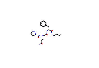 NC(=O)CC[C@H](NC(=O)[C@@H]1CCCN1)C(=O)N[C@@H](Cc1ccccc1)C(=O)N[C@@H](CCC(=O)O)C(=O)O